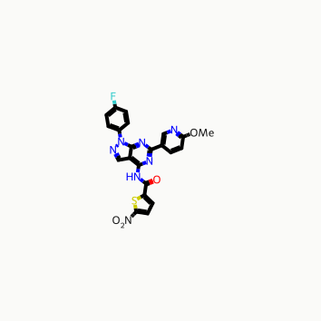 COc1ccc(-c2nc(NC(=O)c3ccc([N+](=O)[O-])s3)c3cnn(-c4ccc(F)cc4)c3n2)cn1